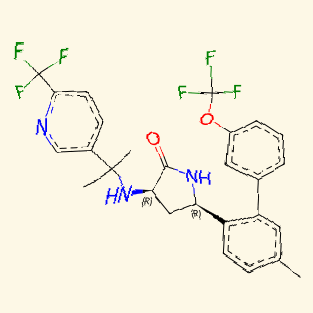 Cc1ccc([C@H]2C[C@@H](NC(C)(C)c3ccc(C(F)(F)F)nc3)C(=O)N2)c(-c2cccc(OC(F)(F)F)c2)c1